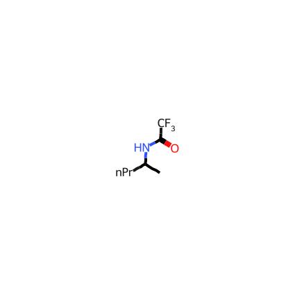 [CH]CCC(C)NC(=O)C(F)(F)F